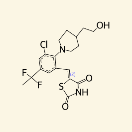 CC(F)(F)c1cc(Cl)c(N2CCC(CCO)CC2)c(/C=C2\SC(=O)NC2=O)c1